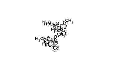 CCOC(=O)CC(NCc1ccccc1)=C(C(=O)OCC)C(=O)C(F)(F)F.CCOC(=O)CC(NCc1ccccc1)=C(C(=O)OCC)C(=O)C(F)(F)F.O